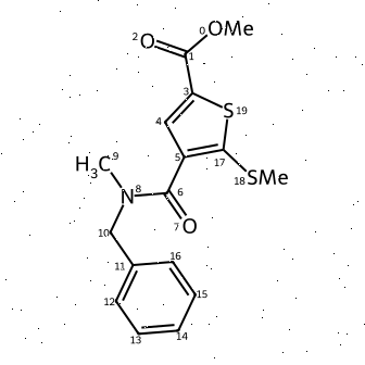 COC(=O)c1cc(C(=O)N(C)Cc2ccccc2)c(SC)s1